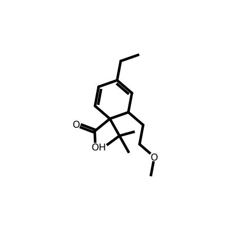 CCC1=CC(CCOC)C(C(=O)O)(C(C)(C)C)C=C1